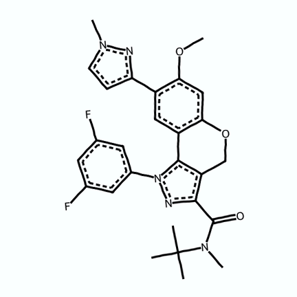 COc1cc2c(cc1-c1ccn(C)n1)-c1c(c(C(=O)N(C)C(C)(C)C)nn1-c1cc(F)cc(F)c1)CO2